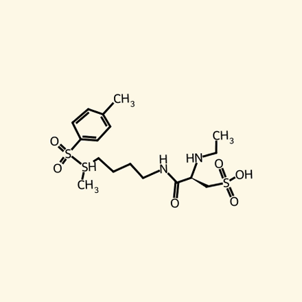 CCN[C@@H](CS(=O)(=O)O)C(=O)NCCCC[SH](C)S(=O)(=O)c1ccc(C)cc1